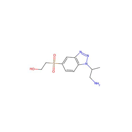 CC(CN)n1nnc2cc(S(=O)(=O)CCO)ccc21